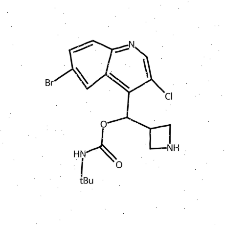 CC(C)(C)NC(=O)OC(c1c(Cl)cnc2ccc(Br)cc12)C1CNC1